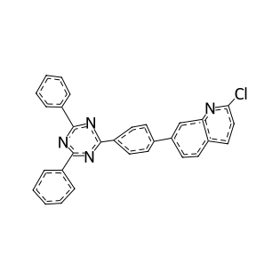 Clc1ccc2ccc(-c3ccc(-c4nc(-c5ccccc5)nc(-c5ccccc5)n4)cc3)cc2n1